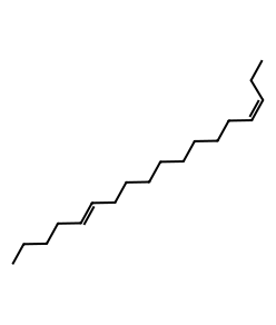 CC/C=C\CCCCCCCC/C=C/CCCC